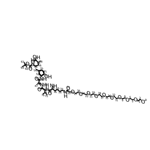 COCCOCCOCCOCCOCCOCCOCCOCCOCCOCC(=O)NCCCC[C@H](N)C(=O)N[C@H](C(=O)N[C@@H](C)C(=O)Nc1cc(C[C@@H](C[C@H](C)C(=O)O)NC(=O)OC(C)(C)C)ccc1O)C(C)C